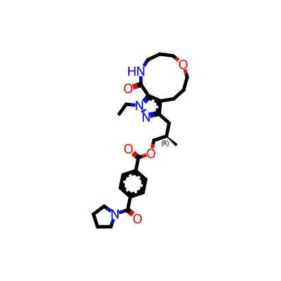 CCn1nc(C[C@@H](C)COC(=O)c2ccc(C(=O)N3CCCC3)cc2)c2c1C(=O)NCCCOCCC2